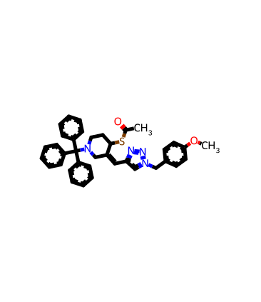 COc1ccc(Cn2cc(/C=C3/CN(C(c4ccccc4)(c4ccccc4)c4ccccc4)CCC3SC(C)=O)nn2)cc1